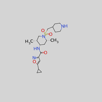 C[C@@H]1CN(S(=O)(=O)CC2CCNCC2)[C@H](C)C[C@@H]1NC(=O)c1cc(C2CC2)on1